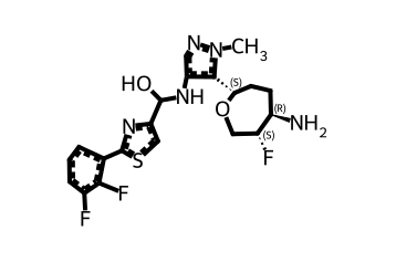 Cn1ncc(NC(O)c2csc(-c3cccc(F)c3F)n2)c1[C@@H]1CC[C@@H](N)[C@H](F)CO1